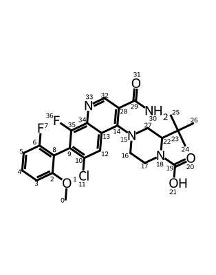 COc1cccc(F)c1-c1c(Cl)cc2c(N3CCN(C(=O)O)C(C(C)(C)C)C3)c(C(N)=O)cnc2c1F